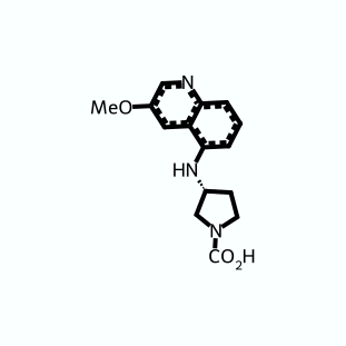 COc1cnc2cccc(N[C@@H]3CCN(C(=O)O)C3)c2c1